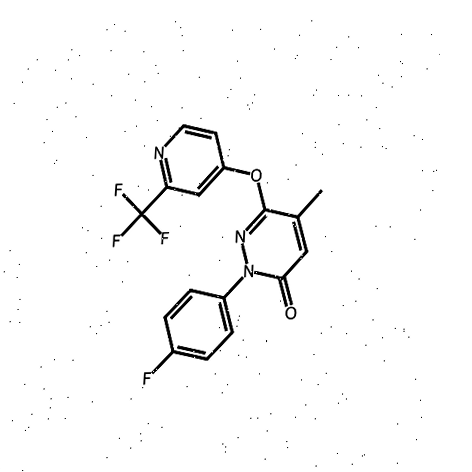 Cc1cc(=O)n(-c2ccc(F)cc2)nc1Oc1ccnc(C(F)(F)F)c1